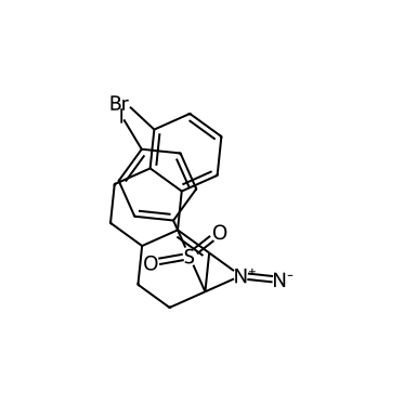 [N-]=[N+]1C2=C3c4cccc(Br)c4CCC3CCC21S(=O)(=O)c1ccc(I)cc1